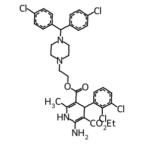 CCOC(=O)C1=C(N)NC(C)=C(C(=O)OCCN2CCN(C(c3ccc(Cl)cc3)c3ccc(Cl)cc3)CC2)C1c1cccc(Cl)c1Cl